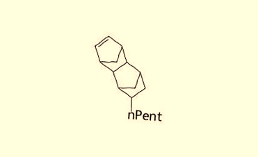 CCCCCC1CC2CC1C1C3C=CC(C3)C21